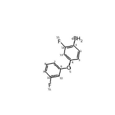 Bc1ccc(Oc2cccc(F)c2)cc1F